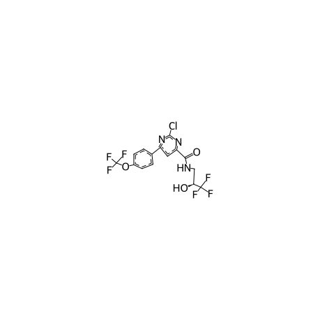 O=C(NC[C@H](O)C(F)(F)F)c1cc(-c2ccc(OC(F)(F)F)cc2)nc(Cl)n1